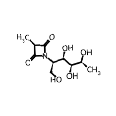 CC1C(=O)N([C@H](CO)[C@@H](O)[C@H](O)[C@H](C)O)C1=O